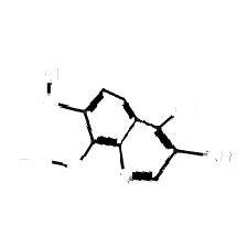 COc1ccc2c(C)c(N)cnc2c1OC